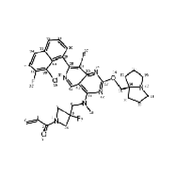 C=CC(=O)N1CC(F)(CN(C)c2nc(OCC34CCCN3CCC4)nc3c(F)c(-c4cccc5ccc(F)c(Cl)c45)ncc23)C1